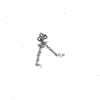 NCCCOCCOCCOCCCNC(=O)CC[C@H](NC(=O)CCCCCCCCCCCCC(=O)O)C(=O)OC(c1ccccc1)(c1ccccc1)c1ccccc1Cl